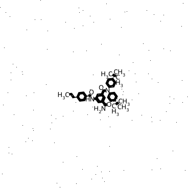 CCC[C@H]1CC[C@@H](C(=O)Nc2cc(C(N)=O)cc(C(=O)N([C@H]3CC[C@@H](C(C)(C)C)CC3)[C@H]3CC[C@@H](C(C)(C)C)CC3)c2)CC1